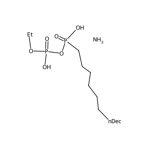 CCCCCCCCCCCCCCCCP(=O)(O)OP(=O)(O)OCC.N